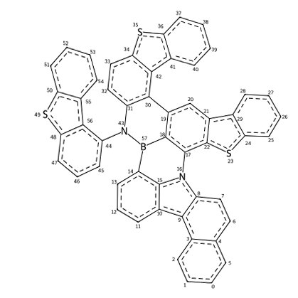 c1ccc2c(c1)ccc1c2c2cccc3c2n1-c1c2c(cc4c1sc1ccccc14)-c1c(ccc4sc5ccccc5c14)N(c1cccc4sc5ccccc5c14)B23